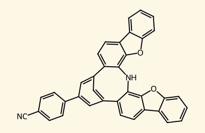 N#Cc1ccc(-c2cc3cc(c2)-c2ccc4c(oc5ccccc54)c2Nc2c-3ccc3c2oc2ccccc23)cc1